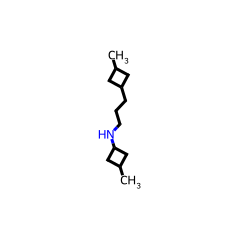 CC1CC(CCCNC2CC(C)C2)C1